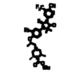 CCc1cc(N2C(=S)N(c3cnc(C#N)c(C(F)(F)F)c3)C(=O)C2(C)C)ccc1O[C@H](C)CN1C[C@@H](C)N(C(=O)OC(C)(C)C)[C@H](C)C1